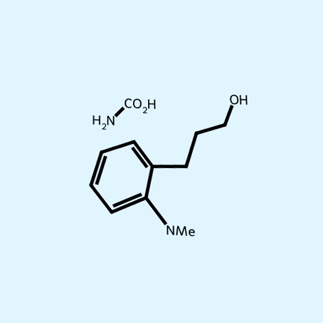 CNc1ccccc1CCCO.NC(=O)O